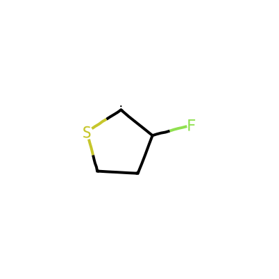 FC1[CH]SCC1